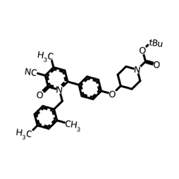 Cc1ccc(Cn2c(-c3ccc(OC4CCN(C(=O)OC(C)(C)C)CC4)cc3)cc(C)c(C#N)c2=O)c(C)c1